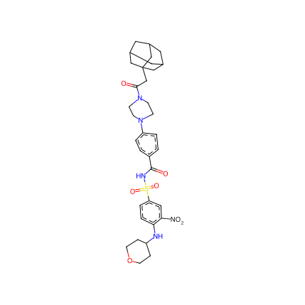 O=C(NS(=O)(=O)c1ccc(NC2CCOCC2)c([N+](=O)[O-])c1)c1ccc(N2CCN(C(=O)CC34CC5CC(CC(C5)C3)C4)CC2)cc1